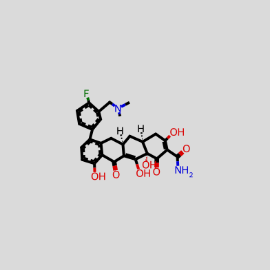 CN(C)Cc1cc(-c2ccc(O)c3c2C[C@H]2C[C@H]4CC(O)=C(C(N)=O)C(=O)[C@@]4(O)C(O)=C2C3=O)ccc1F